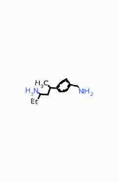 [CH2]CC(N)CC(C)c1ccc(CN)cc1